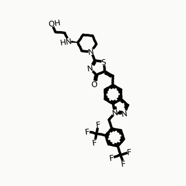 O=C1N=C(N2CCC[C@H](NCCO)C2)S/C1=C/c1ccc2c(cnn2Cc2ccc(C(F)(F)F)cc2C(F)(F)F)c1